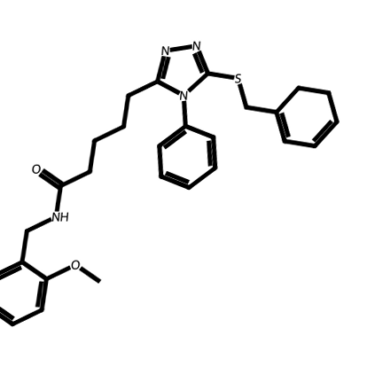 COc1ccccc1CNC(=O)CCCCc1nnc(SCC2=CC=CCC2)n1-c1ccccc1